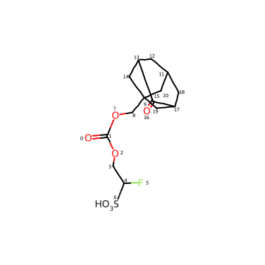 O=C(OCC(F)S(=O)(=O)O)OCC12CC3CC(C1)C(=O)C(C3)C2